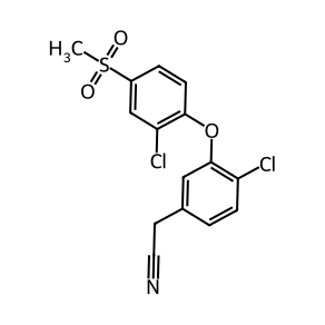 CS(=O)(=O)c1ccc(Oc2cc(CC#N)ccc2Cl)c(Cl)c1